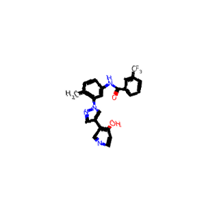 Cc1ccc(NC(=O)c2cccc(C(F)(F)F)c2)cc1-n1cc(-c2cnccc2O)cn1